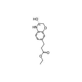 CCOC(=O)CCc1ccc2c(c1)OC[C@@H](O)N2